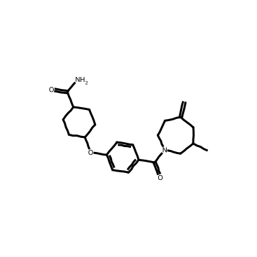 C=C1CCN(C(=O)c2ccc(OC3CCC(C(N)=O)CC3)cc2)CC(C)C1